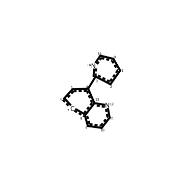 c1ccc(-c2cccc3cccnc23)nc1